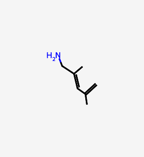 C=C(C)/C=C(\C)CN